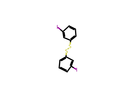 Ic1cccc(SSc2cccc(I)c2)c1